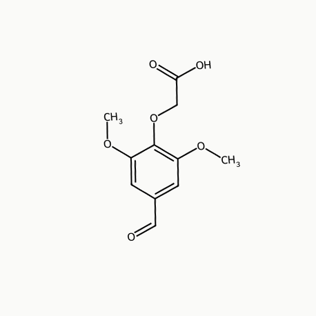 COc1cc(C=O)cc(OC)c1OCC(=O)O